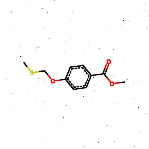 COC(=O)c1ccc(OCSC)cc1